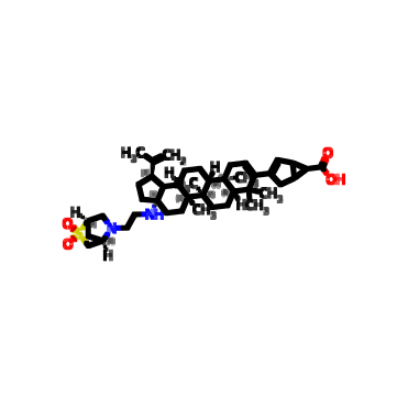 C=C(C)[C@@H]1CC[C@]2(NCCN3C[C@H]4C[C@@H]3CS4(=O)=O)CC[C@]3(C)[C@H](CC[C@@H]4[C@@]5(C)CC=C(C6=CC7C(C6)C7C(=O)O)C(C)(C)[C@@H]5CC[C@]43C)C12